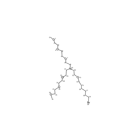 COCCOCCOCCN(CCOCCCCCCBr)CCOCCOCCOC